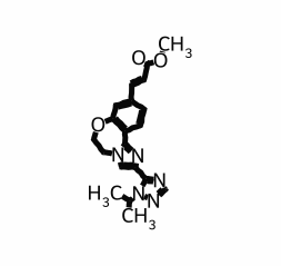 COC(=O)/C=C/c1ccc2c(c1)OCCn1cc(-c3ncnn3C(C)C)nc1-2